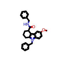 COc1ccc2c(c1)c1c(n2Cc2ccccc2)CCCC1C(=O)NCc1ccccc1